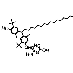 CCCCCCCCCCCCCCCCC(c1cc(C(C)(C)C)c(O)cc1C)c1cc(C(C)(C)C)c(O)cc1C.OP(O)OP(O)O